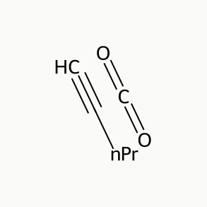 C#CCCC.O=C=O